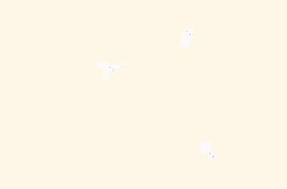 Cn1[c]ccc1Oc1cc(C#N)cc(C#N)c1